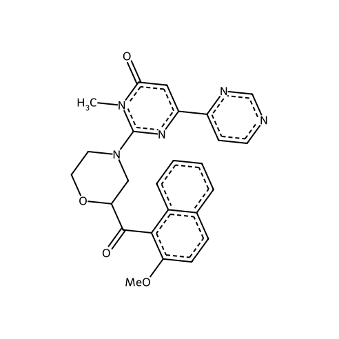 COc1ccc2ccccc2c1C(=O)C1CN(c2nc(-c3ccncn3)cc(=O)n2C)CCO1